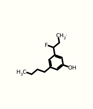 [CH2]CC(F)c1cc(O)cc(CCCC)c1